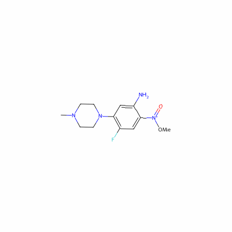 CO[N+](=O)c1cc(F)c(N2CCN(C)CC2)cc1N